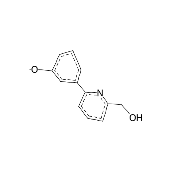 [O]c1cccc(-c2cccc(CO)n2)c1